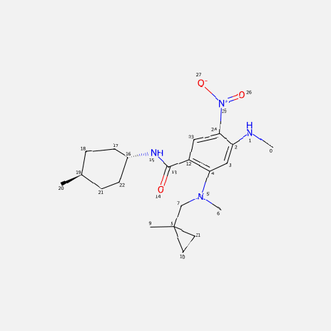 CNc1cc(N(C)CC2(C)CC2)c(C(=O)N[C@H]2CC[C@H](C)CC2)cc1[N+](=O)[O-]